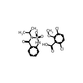 CC(C)N1C(=O)c2ccccc2NS1(=O)=O.COc1c(Cl)ccc(Cl)c1C(=O)O